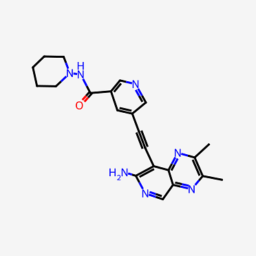 Cc1nc2cnc(N)c(C#Cc3cncc(C(=O)NN4CCCCC4)c3)c2nc1C